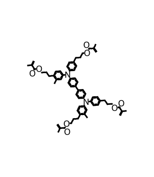 C=C(C)C(=O)OCCCc1ccc(N(c2ccc(-c3ccc(N(c4ccc(CCCOC(=O)C(=C)C)cc4)c4ccc(CCCOC(=O)C(=C)C)c(C)c4)cc3)cc2)c2ccc(CCCOC(=O)C(=C)C)c(C)c2)cc1